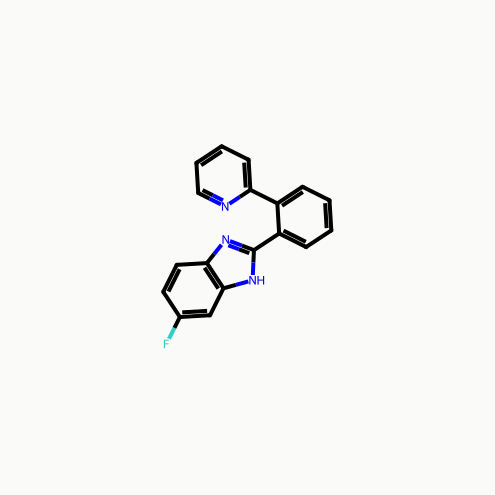 Fc1ccc2nc(-c3ccccc3-c3ccccn3)[nH]c2c1